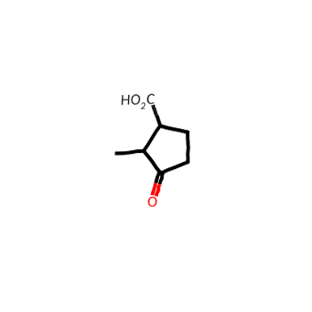 CC1C(=O)CCC1C(=O)O